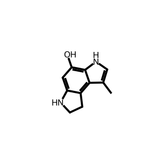 Cc1c[nH]c2c(O)cc3c(c12)CCN3